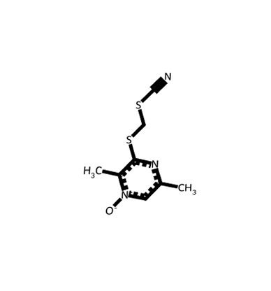 Cc1c[n+]([O-])c(C)c(SCSC#N)n1